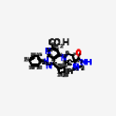 CC(C)N1CNC(=O)C12CCN(c1cc(C(=O)O)nc3c1c(C1CCC1)nn3-c1ccccc1)CC2